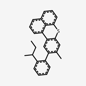 CCC(C)c1ccccc1-c1cc2c(cc1C)Sc1cccc3cccc-2c13